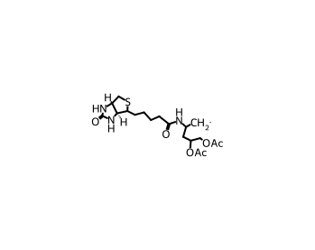 [CH2]C(CC(COC(C)=O)OC(C)=O)NC(=O)CCCCC1SC[C@@H]2NC(=O)N[C@H]12